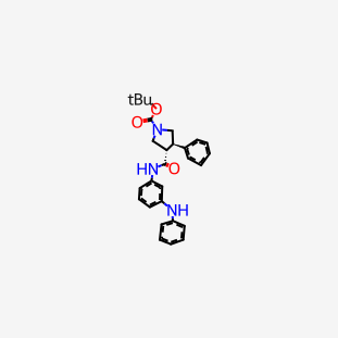 CC(C)(C)OC(=O)N1C[C@@H](C(=O)Nc2cccc(Nc3ccccc3)c2)[C@H](c2ccccc2)C1